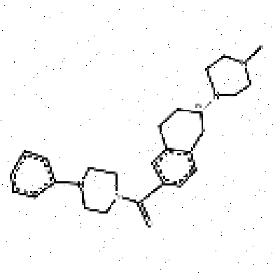 CN1CCN([C@H]2CCc3cc(C(=O)N4CCN(c5ccccc5)CC4)ccc3C2)CC1